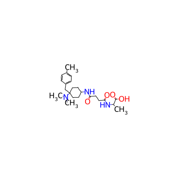 Cc1ccc(CC2(N(C)C)CCC(NC(=O)CCC(=O)NC(C)C(=O)O)CC2)cc1